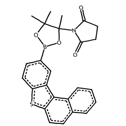 CC1(C)OB(c2ccc3sc4ccc5ccccc5c4c3c2)OC1(C)N1C(=O)CCC1=O